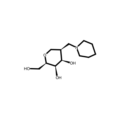 OC[C@H]1OC[C@@H](CN2CCCCC2)[C@@H](O)[C@H]1O